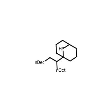 CCCCCCCCCCCC(CCCCCCCC)C12CCCC(CCC1)P2